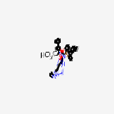 O=C(O)CC(NC(=O)[C@@H](CSC(c1ccccc1)(c1ccccc1)c1ccccc1)NC(=O)CCCCNc1ccccn1)c1ccc(-c2ccccc2)cc1